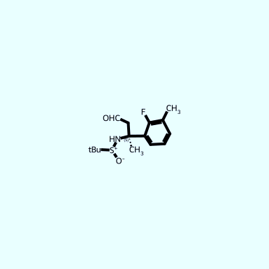 Cc1cccc([C@](C)(CC=O)N[S+]([O-])C(C)(C)C)c1F